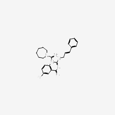 O=c1nc2n(CC=Cc3ccccc3)nc(N3CCCCCC3)n2c2ccc(Br)cc12